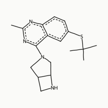 Cc1nc(N2CC3CNC3C2)c2cc(SC(C)(C)C)ccc2n1